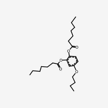 CCCCCCC(=O)Oc1ccc(OCCCC)cc1OC(=O)CCCCCC